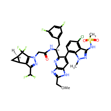 COCc1nc2nc([C@H](Cc3cc(F)cc(F)c3)NC(=O)Cn3nc(C(F)F)c4c3C(F)(F)[C@@H]3CC43)c(-c3ccc(Cl)c4c(NS(C)(=O)=O)nn(C)c34)cc2[nH]1